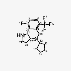 Fc1ccc(C(F)(F)F)c(CN(C2CCCC2)[C@H]2CCNC2)c1